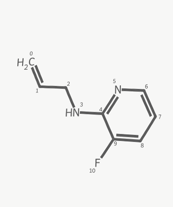 C=CCNc1ncccc1F